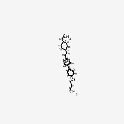 CCCCOc1ccc(-c2cnc(CCC3CCC(CC)CC3)nc2)cc1